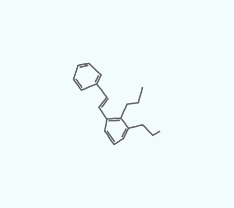 CCCc1cccc(C=Cc2ccccc2)c1CCC